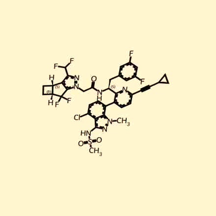 Cn1nc(NS(C)(=O)=O)c2c(Cl)ccc(-c3ccc(C#CC4CC4)nc3[C@H](Cc3cc(F)cc(F)c3)NC(=O)Cn3nc(C(F)F)c4c3C(F)(F)[C@@H]3CC[C@H]43)c21